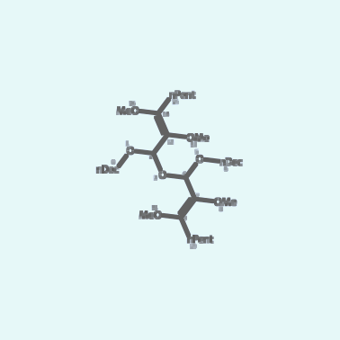 CCCCCCCCCCOC(OC(OCCCCCCCCCC)C(OC)=C(CCCCC)OC)C(OC)=C(CCCCC)OC